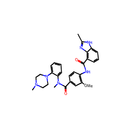 COc1cc(C(=O)N(C)c2ccccc2N2CCN(C)CC2)ccc1NC(=O)c1cccc2[nH]c(C)nc12